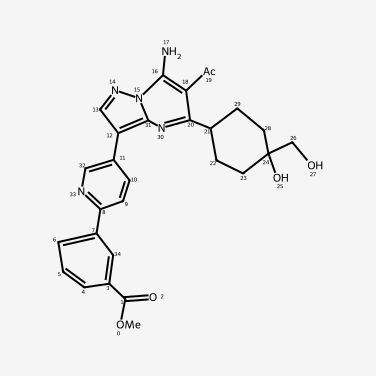 COC(=O)c1cccc(-c2ccc(-c3cnn4c(N)c(C(C)=O)c(C5CCC(O)(CO)CC5)nc34)cn2)c1